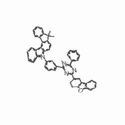 CC1(C)c2ccccc2-c2c1ccc1c2c2ccccc2n1-c1cccc(-c2nc(C3=Cc4c(oc5ccccc45)CC3)nc(-c3ccccc3)n2)c1